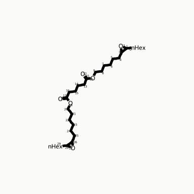 CCCCCCC1OC1CCCCCCOC(=O)CCCCC(=O)OCCCCCCC1OC1CCCCCC